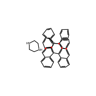 C1CNCCN1.c1ccc(P(c2ccccc2)c2ccc3ccccc3c2-c2c(P(c3ccccc3)c3ccccc3)ccc3ccccc23)cc1